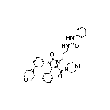 O=C(NCCCn1c(C(=O)N2CCNCC2)c(-c2ccccc2)n(-c2cccc(N3CCOCC3)c2)c1=O)Nc1ccccc1